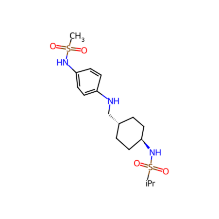 CC(C)S(=O)(=O)N[C@H]1CC[C@H](CNc2ccc(NS(C)(=O)=O)cc2)CC1